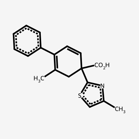 CC1=C(c2ccccc2)C=CC(C(=O)O)(c2nc(C)cs2)C1